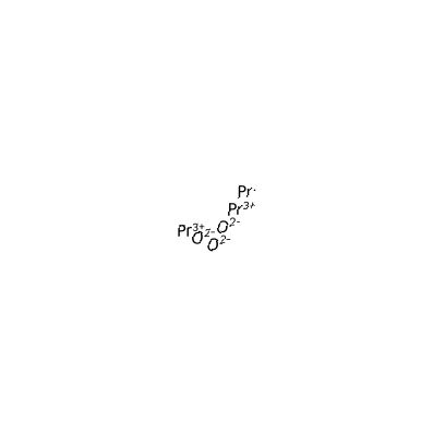 [O-2].[O-2].[O-2].[Pr+3].[Pr+3].[Pr]